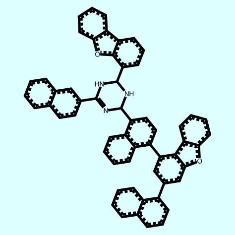 c1ccc2cc(C3=NC(c4ccc(-c5cc(-c6cccc7ccccc67)cc6oc7ccccc7c56)c5ccccc45)NC(c4cccc5c4oc4ccccc45)N3)ccc2c1